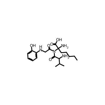 CCCCCC(N)(C(=O)O)N(C(=O)CNc1ccccc1O)C(=O)C(N)C(C)C